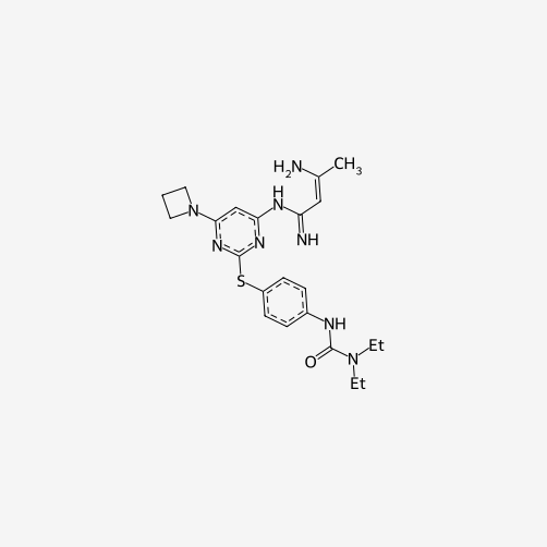 CCN(CC)C(=O)Nc1ccc(Sc2nc(NC(=N)/C=C(/C)N)cc(N3CCC3)n2)cc1